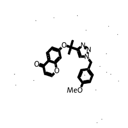 COc1ccc(Cn2cc(C(C)(C)Oc3ccc4c(=O)ccoc4c3)nn2)cc1